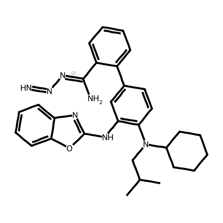 CC(C)CN(c1ccc(-c2ccccc2/C(N)=N/N=N)cc1Nc1nc2ccccc2o1)C1CCCCC1